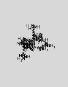 Cc1nc([C@H](CCCCNC(=N)N)NC(=O)c2sc(CC(C)C)nc2[C@H](C)NC(=O)c2sc(CCCCNC(=N)N)nc2[C@H](CC(C)C)NC(O)c2sc(C)nc2[C@@H](N)CCCCNC(=N)N)c(C(=O)N[C@@H](CC(C)C)c2nc(CCCCNC(=N)N)sc2C(=O)N[C@@H](C)c2nc(CC(C)C)sc2C(N)=O)s1